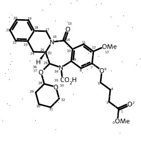 COC(=O)CCCOc1cc2c(cc1OC)C(=O)N1Cc3ccccc3C[C@H]1C(OC1CCCCO1)N2C(=O)O